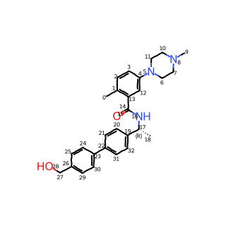 Cc1ccc(N2CCN(C)CC2)cc1C(=O)N[C@H](C)c1ccc(-c2ccc(CO)cc2)cc1